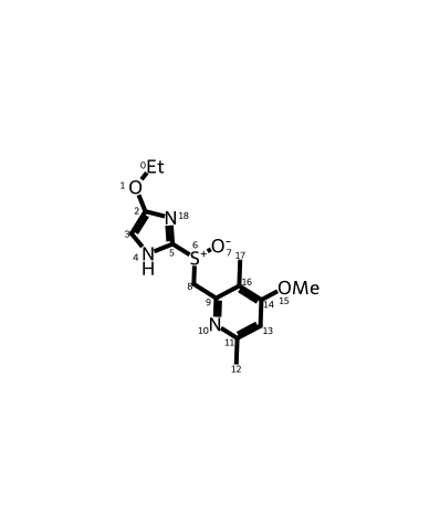 CCOc1c[nH]c([S+]([O-])Cc2nc(C)cc(OC)c2C)n1